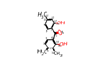 C=C/C=C\C(C(=O)c1ccc(C)cc1O)=C(\O)C=C